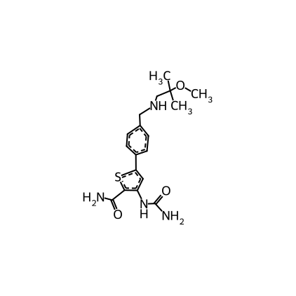 COC(C)(C)CNCc1ccc(-c2cc(NC(N)=O)c(C(N)=O)s2)cc1